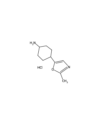 Cc1ncc(C2CCC(N)CC2)o1.Cl